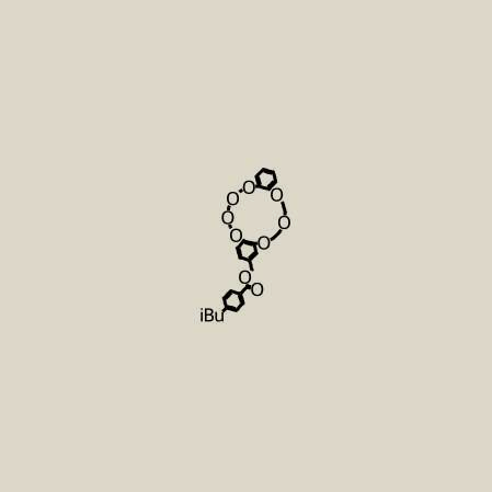 CCC(C)c1ccc(C(=O)OCc2ccc3c(c2)OCCOCCOc2ccccc2OCOCOCO3)cc1